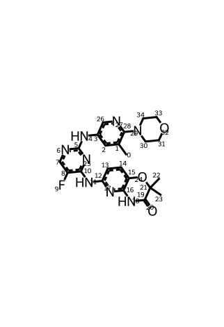 Cc1cc(Nc2ncc(F)c(Nc3ccc4c(n3)NC(=O)C(C)(C)O4)n2)cnc1N1CCOCC1